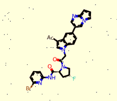 CC(=O)c1cn(CC(=O)N2C[C@H](F)C[C@H]2C(=O)Nc2cccc(Br)n2)c2ccc(-c3cnc4cccn4c3)cc12